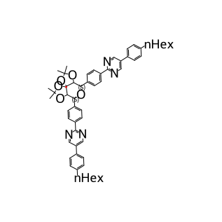 CCCCCCc1ccc(-c2cnc(-c3ccc([C@H](O[C@@H](c4ccc(-c5ncc(-c6ccc(CCCCCC)cc6)cn5)cc4)C4COC(C)(C)O4)C4COC(C)(C)O4)cc3)nc2)cc1